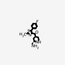 Cc1nc(C(=O)C2CCN[C@H](CN)C2)c(-c2ccc(F)cc2)s1